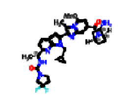 COc1cc(C(=O)N2[C@H]3CC[C@@H]2[C@H](N)C3)cc2nc(-c3cc4ccc([C@@H](C)NC(=O)N5CCC(F)(F)C5)nc4n3CC3CC3)c(C)n12